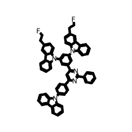 FCCc1ccc2c(c1)c1ccccc1n2-c1cc(-c2cc(-c3ccc(-n4c5ccccc5c5ccccc54)cc3)nc(-c3ccccc3)n2)cc(-n2c3ccccc3c3cc(CCF)ccc32)c1